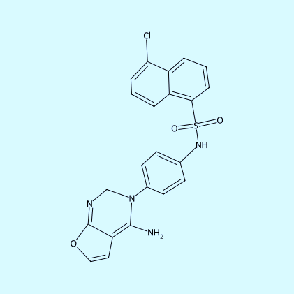 NC1=c2ccoc2=NCN1c1ccc(NS(=O)(=O)c2cccc3c(Cl)cccc23)cc1